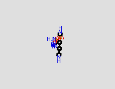 NS(=O)(=O)c1c(S(=O)(=O)C2CCNCC2)ccc(-c2ccc(C3CCNCC3)cc2)c1-c1nnn[nH]1